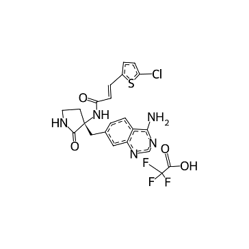 Nc1ncnc2cc(C[C@]3(NC(=O)C=Cc4ccc(Cl)s4)CCNC3=O)ccc12.O=C(O)C(F)(F)F